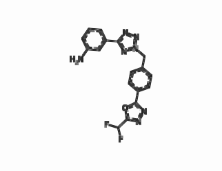 Nc1cccc(-c2nnn(Cc3ccc(-c4nnc(C(F)F)o4)cc3)n2)c1